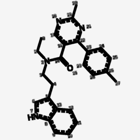 CCN(CCc1c[nH]c2ccccc12)C(=O)c1cnc(C)nc1-c1ccc(C)cc1